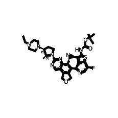 CCN1CCN([C@H]2CCN(c3ncc4c5c(c(-c6ncc(F)c7sc(NC(=O)OC(C)(C)C)c(C#N)c67)c(F)c4n3)COC5)[C@H]2C)CC1